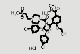 CCOc1ccc(C(=O)N(C)C)cc1C1=N[C@@H](c2ccc(Cl)cc2)[C@@H](c2ccc(Cl)cc2)N1C(=O)N1CCN(CCS(C)(=O)=O)CC1.Cl